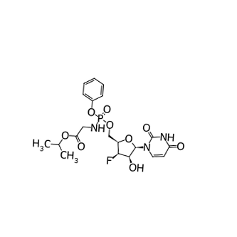 CC(C)OC(=O)CNP(=O)(OC[C@H]1O[C@@H](n2ccc(=O)[nH]c2=O)[C@@H](O)[C@H]1F)Oc1ccccc1